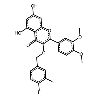 COc1ccc(-c2oc3cc(O)cc(O)c3c(=O)c2OCc2ccc(F)c(F)c2)cc1OC